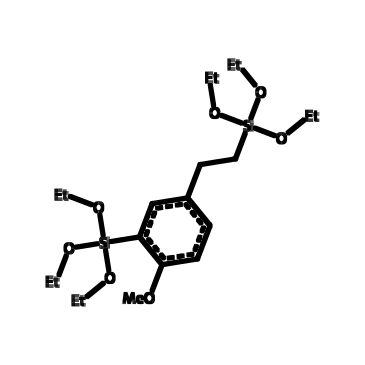 CCO[Si](CCc1ccc(OC)c([Si](OCC)(OCC)OCC)c1)(OCC)OCC